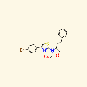 O=CC1OCC(CCc2ccccc2)N1c1nc(-c2ccc(Br)cc2)cs1